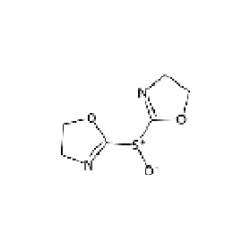 [O-][S+](C1=NCCO1)C1=NCCO1